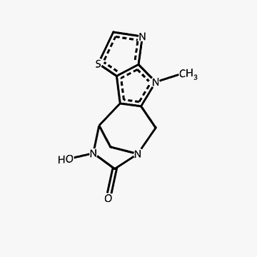 Cn1c2c(c3scnc31)C1CN(C2)C(=O)N1O